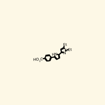 CCc1cc(-c2ccc(-c3ccc(C(=O)O)cc3)[nH]2)nn1CC